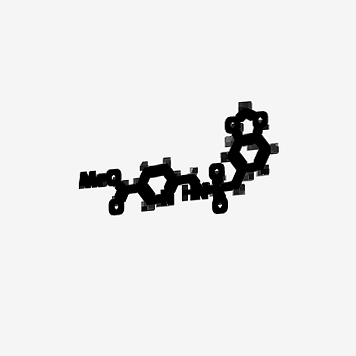 COC(=O)c1ccc(CNS(=O)(=O)Cc2ccc3c(c2)OCO3)nc1